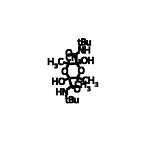 CC(C)(C)NC(=O)[C@]1(O)OC(C)(C)[C@](O)(C(=O)NC(C)(C)C)OC1(C)C